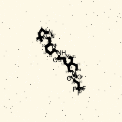 CC1(C)CCc2nnc(-c3cccc(NC(=O)c4cc5c(cn4)CCN(S(=O)(=O)CCC(F)(F)F)C5)n3)n21